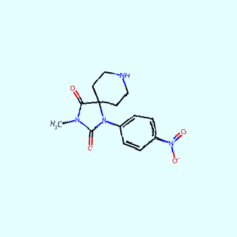 CN1C(=O)N(c2ccc([N+](=O)[O-])cc2)C2(CCNCC2)C1=O